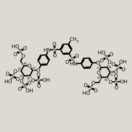 Cc1cc(S(=O)(=O)Nc2ccc(O[C@@H]3O[C@H](COS(=O)(=O)O)[C@@H](OS(=O)(=O)O)[C@H](OS(=O)(=O)O)[C@H]3OS(=O)(=O)O)cc2)cc(S(=O)(=O)Nc2ccc(O[C@@H]3O[C@H](COS(=O)(=O)O)[C@@H](OS(=O)(=O)O)[C@H](OS(=O)(=O)O)[C@H]3OS(=O)(=O)O)cc2)c1